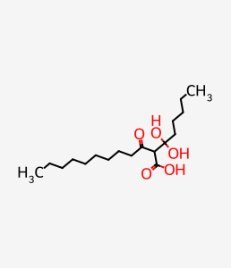 CCCCCCCCCC(=O)C(C(=O)O)C(O)(O)CCCCC